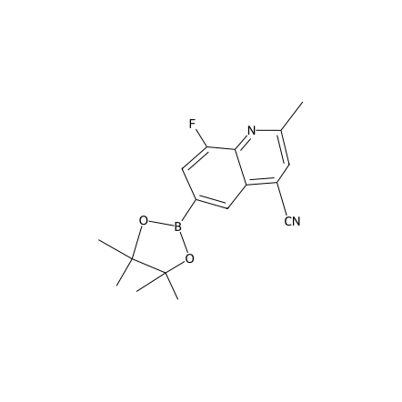 Cc1cc(C#N)c2cc(B3OC(C)(C)C(C)(C)O3)cc(F)c2n1